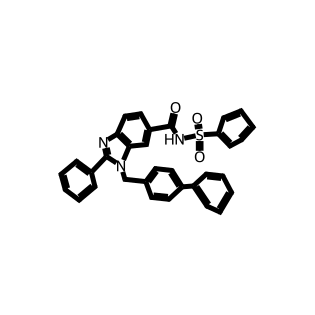 O=C(NS(=O)(=O)c1ccccc1)c1ccc2nc(-c3ccccc3)n(Cc3ccc(-c4ccccc4)cc3)c2c1